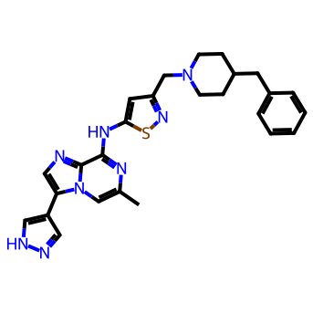 Cc1cn2c(-c3cn[nH]c3)cnc2c(Nc2cc(CN3CCC(Cc4ccccc4)CC3)ns2)n1